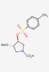 CO[C@H]1CN(C(=O)O)C[C@@H]1OS(=O)(=O)c1ccc(C)cc1